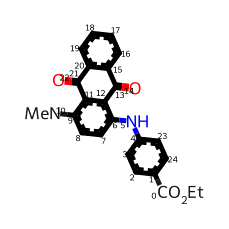 CCOC(=O)c1ccc(Nc2ccc(NC)c3c2C(=O)c2ccccc2C3=O)cc1